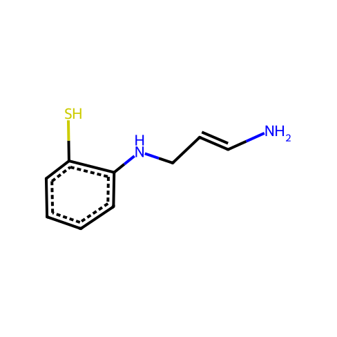 NC=CCNc1ccccc1S